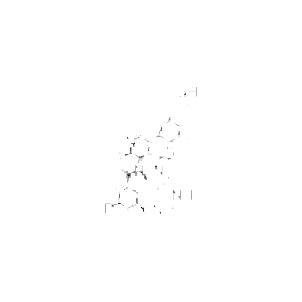 CN(C[C@@H]1CCCN1)C(=O)c1c(-c2cccc(CCO)c2)cnc2ccc(-c3cc(F)cc(C#N)c3)nc12